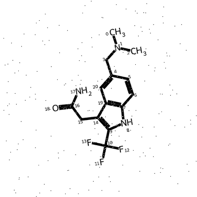 CN(C)Cc1ccc2[nH]c(C(F)(F)F)c(CC(N)=O)c2c1